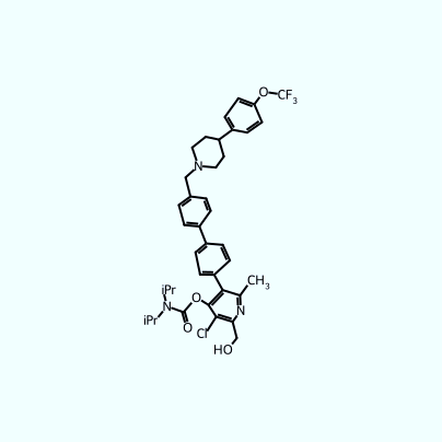 Cc1nc(CO)c(Cl)c(OC(=O)N(C(C)C)C(C)C)c1-c1ccc(-c2ccc(CN3CCC(c4ccc(OC(F)(F)F)cc4)CC3)cc2)cc1